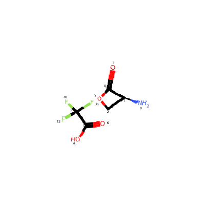 N[C@H]1COC1=O.O=C(O)C(F)(F)F